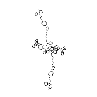 COC(=O)C=Cc1ccc(OCCCCCC(=O)CC(Cc2ccc([N+](=O)[O-])cc2)(Cc2ccc([N+](=O)[O-])cc2)C(O)(O)C(=O)CCCCCOc2ccc(C=CC(=O)OC)cc2)cc1